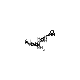 COCCN1CCN(c2cc(N)nc(NCc3ccc(CNCCCNC4CCCCC4)cc3)n2)CC1